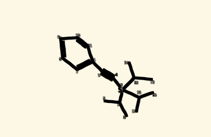 CC(C)[Si](C#Cc1cc[c]cc1)(C(C)C)C(C)C